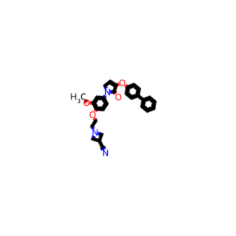 COc1cc(N2CC=C(Oc3ccc(-c4ccccc4)cc3)C2=O)ccc1OCCN1CC(C#N)C1